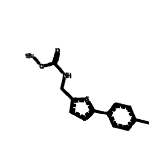 Cc1ccc(-c2ccc(CNC(=O)OC(C)(C)C)s2)cc1